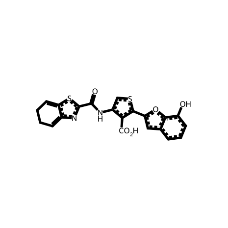 O=C(Nc1csc(-c2cc3cccc(O)c3o2)c1C(=O)O)c1nc2c(s1)=CCCC=2